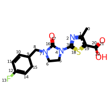 Cc1nc(N2CCN(CC3C=CC(F)=CC3)C2=O)sc1C(=O)O